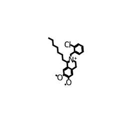 CCCCCCCC1=[N+](Cc2ccccc2Cl)CCc2cc(OC)c(OC)cc21